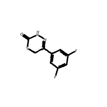 O=C1NN=C(c2cc(F)cc(F)c2)CS1